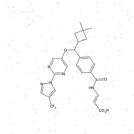 CC1(C)CC(C(Oc2cnc(-n3cc(C(F)(F)F)cn3)nc2)c2ccc(C(=O)NC=CC(=O)O)cc2)C1